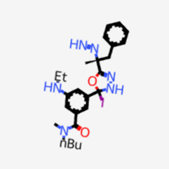 CCCCN(C)C(=O)c1cc(NCC)cc(C2(I)NN=C([C@@](C)(Cc3ccccc3)N=N)O2)c1